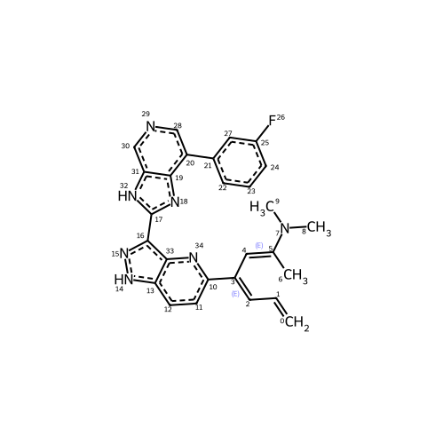 C=C/C=C(\C=C(/C)N(C)C)c1ccc2[nH]nc(-c3nc4c(-c5cccc(F)c5)cncc4[nH]3)c2n1